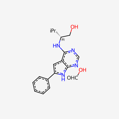 CC(C)[C@H](CO)Nc1ncnc2[nH]c(-c3ccccc3)cc12.O=CO